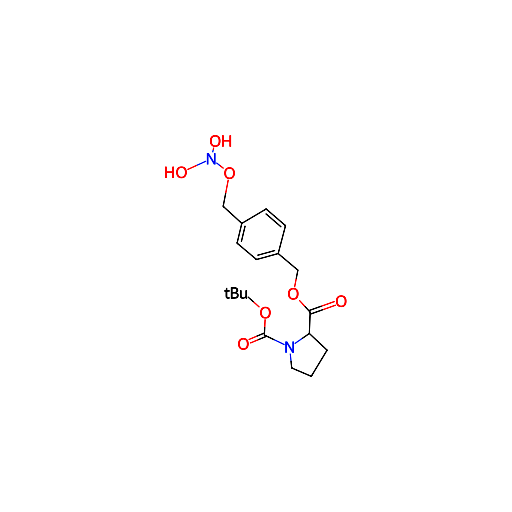 CC(C)(C)OC(=O)N1CCCC1C(=O)OCc1ccc(CON(O)O)cc1